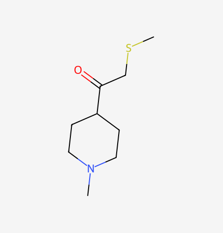 CSCC(=O)C1CCN(C)CC1